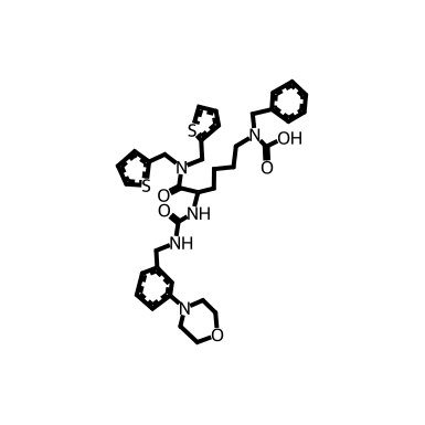 O=C(NCc1cccc(N2CCOCC2)c1)NC(CCCCN(Cc1ccccc1)C(=O)O)C(=O)N(Cc1cccs1)Cc1cccs1